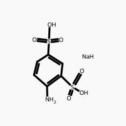 Nc1ccc(S(=O)(=O)O)cc1S(=O)(=O)O.[NaH]